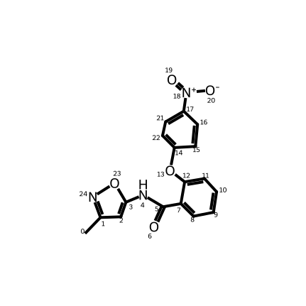 Cc1cc(NC(=O)c2ccccc2Oc2ccc([N+](=O)[O-])cc2)on1